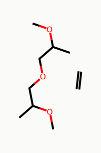 C=C.COC(C)COCC(C)OC